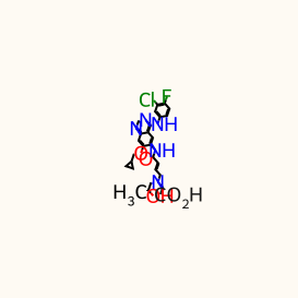 C[C@@H](O)CN(CC=CC(=O)Nc1cc2c(Nc3ccc(F)c(Cl)c3)ncnc2cc1OCC1CC1)CC(=O)O